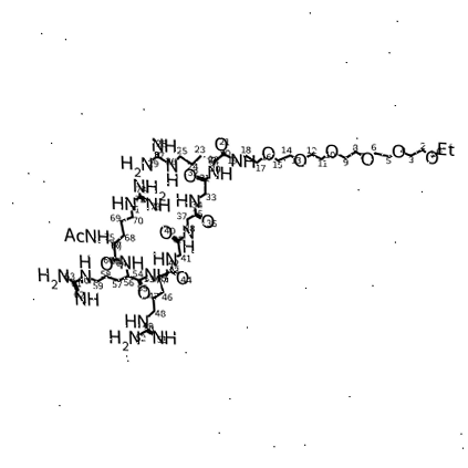 CCOCCOCCOCCOCCOCCOCCNC(=O)[C@@H](CCCNC(=N)N)NC(=O)CNC(=O)CNC(=O)CNC(=O)[C@@H](CCCNC(=N)N)NC(=O)C(CCCNC(=N)N)NC(=O)[C@@H](CCCNC(=N)N)NC(C)=O